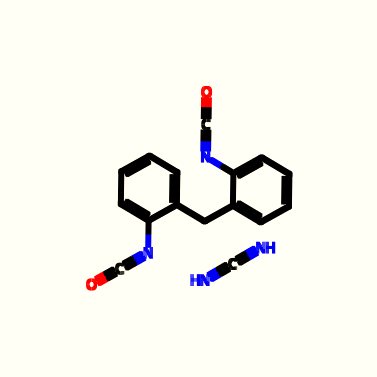 N=C=N.O=C=Nc1ccccc1Cc1ccccc1N=C=O